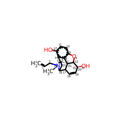 C=CC[N@+]1(C)CC[C@@]23c4c5ccc(O)c4CC1C2C=C[C@H](O)C3O5